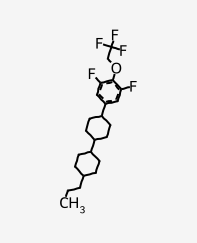 CCCC1CCC(C2CCC(c3cc(F)c(OCC(F)(F)F)c(F)c3)CC2)CC1